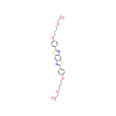 c1cc(-c2nc3cc4sc(-c5ccc(OCCCCOCC6CO6)cc5)nc4cc3s2)ccc1OCCCCOCC1CO1